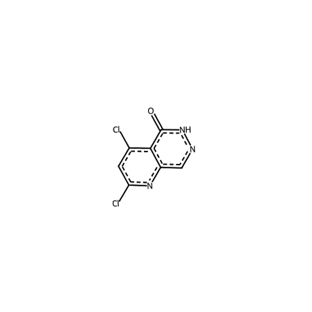 O=c1[nH]ncc2nc(Cl)cc(Cl)c12